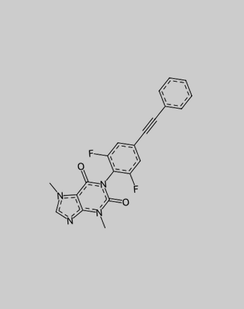 Cn1cnc2c1c(=O)n(-c1c(F)cc(C#Cc3ccccc3)cc1F)c(=O)n2C